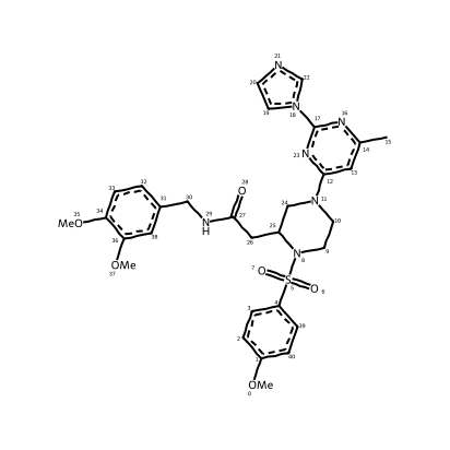 COc1ccc(S(=O)(=O)N2CCN(c3cc(C)nc(-n4ccnc4)n3)CC2CC(=O)NCc2ccc(OC)c(OC)c2)cc1